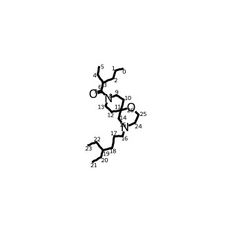 CCCC(CC)C(=O)N1CCC2(CC1)CN(CCCC(CC)CC)CCO2